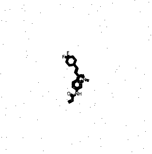 C=CC(=O)Nc1ccc2c(/C=C/C3CCC(F)(F)CC3)cn(C)c2c1